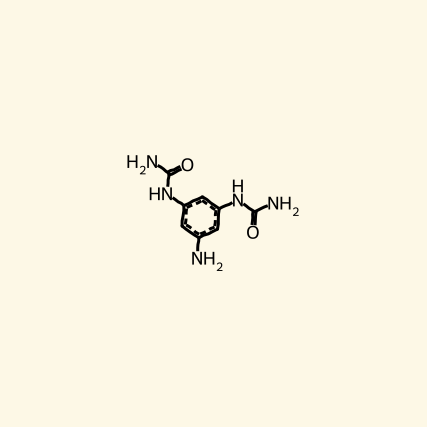 NC(=O)Nc1cc(N)cc(NC(N)=O)c1